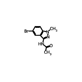 CC(=O)Nc1nn(C)c2ccc(Br)cc12